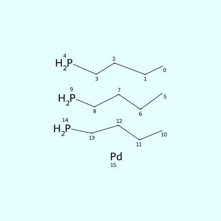 CCCCP.CCCCP.CCCCP.[Pd]